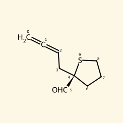 C=C=CC[C@@]1(C=O)CCCS1